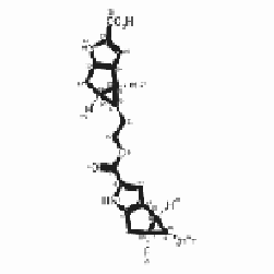 CCC[C@@H]1[C@H]2Cc3[nH]c(C(=O)OCC[C@H]4[C@H]5Cc6[nH]c(C(=O)O)cc6[C@H]54)cc3[C@@H]12